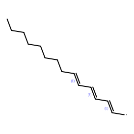 [CH2]/C=C/C=C/C=C/CCCCCCCC